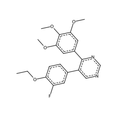 CCOc1ccc(-c2cncnc2-c2cc(OC)c(OC)c(OC)c2)cc1F